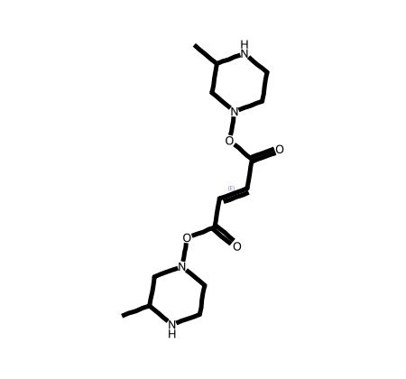 CC1CN(OC(=O)/C=C/C(=O)ON2CCNC(C)C2)CCN1